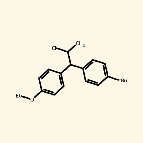 CCOc1ccc(C(c2ccc(C(C)(C)C)cc2)C(C)Cl)cc1